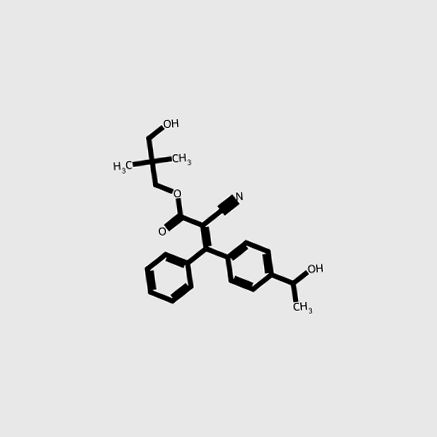 CC(O)c1ccc(/C(=C(\C#N)C(=O)OCC(C)(C)CO)c2ccccc2)cc1